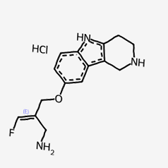 Cl.NC/C(=C\F)COc1ccc2[nH]c3c(c2c1)CNCC3